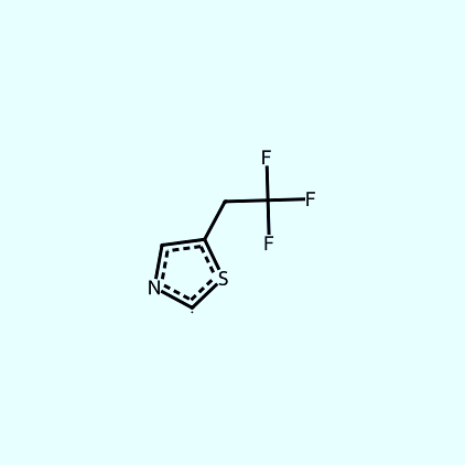 FC(F)(F)Cc1cn[c]s1